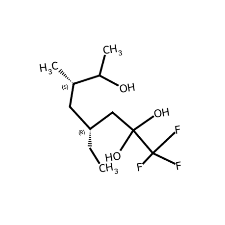 CC[C@H](C[C@H](C)C(C)O)CC(O)(O)C(F)(F)F